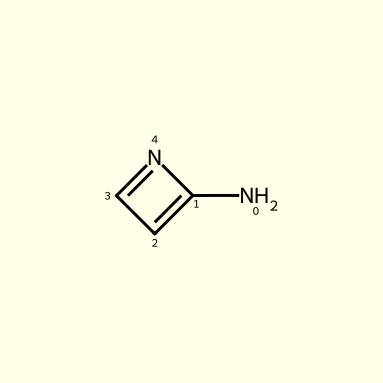 NC1=CC=N1